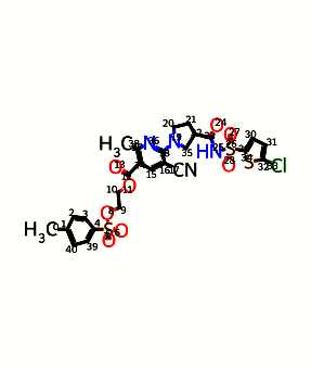 Cc1ccc(S(=O)(=O)OCCOC(=O)c2cc(C#N)c(N3CCC(C(=O)NS(=O)(=O)c4ccc(Cl)s4)C3)nc2C)cc1